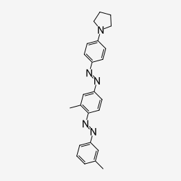 Cc1cccc(/N=N/c2ccc(/N=N/c3ccc(N4CCCC4)cc3)cc2C)c1